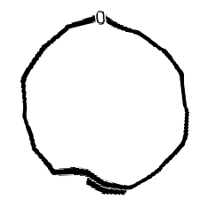 C1=C/CCCCCCOCCCCCC/1